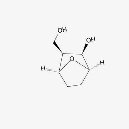 OC[C@H]1[C@@H](O)[C@H]2CC[C@@H]1O2